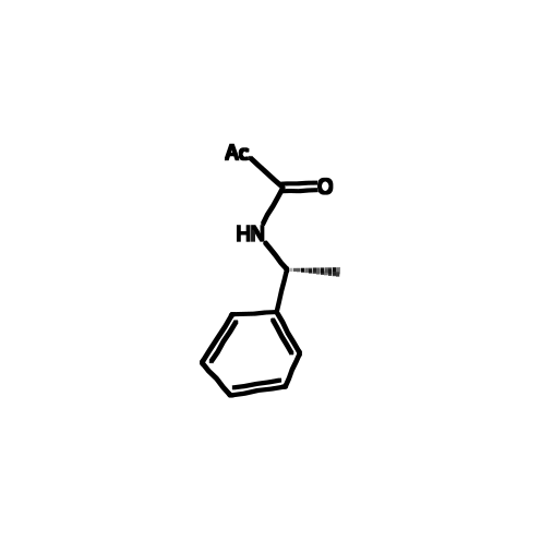 CC(=O)C(=O)N[C@H](C)c1ccccc1